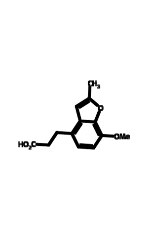 COc1ccc(CCC(=O)O)c2cc(C)oc12